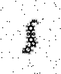 NCc1ccc(S(=O)(=O)c2ccc3c(c2)CCN3C2CCNCC2)cc1